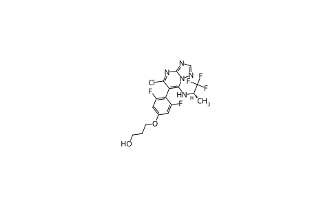 C[C@@H](Nc1c(-c2c(F)cc(OCCCO)cc2F)c(Cl)nc2ncnn12)C(F)(F)F